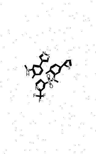 CNc1cc(-c2cnsc2)ccc1C.Cc1ccc(-c2cccs2)cc1N(C)S(=O)(=O)c1ccnc(C(F)(F)F)c1